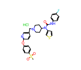 CS(=O)(=O)c1ccc(Oc2ccc(CN3CCC(N(C(=O)Nc4ccc(F)cc4)c4ccsc4)CC3)cn2)cc1.Cl